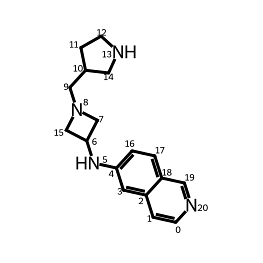 c1cc2cc(NC3CN(CC4CCNC4)C3)ccc2cn1